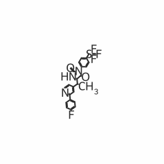 CC(c1ccnc(-c2ccc(F)cc2)c1)C1NC(=O)N(c2ccc(SC(F)(F)F)cc2)C1=O